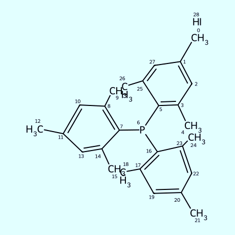 Cc1cc(C)c(P(c2c(C)cc(C)cc2C)c2c(C)cc(C)cc2C)c(C)c1.I